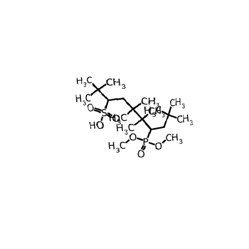 COP(=O)(OC)C(CC(C)(C)C)C(C)(C)C(C)(C)CC(C(C)(C)C)S(=O)(=O)O